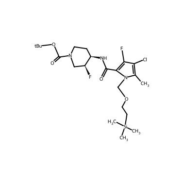 Cc1c(Cl)c(F)c(C(=O)N[C@@H]2CCN(C(=O)OC(C)(C)C)C[C@@H]2F)n1COCC[Si](C)(C)C